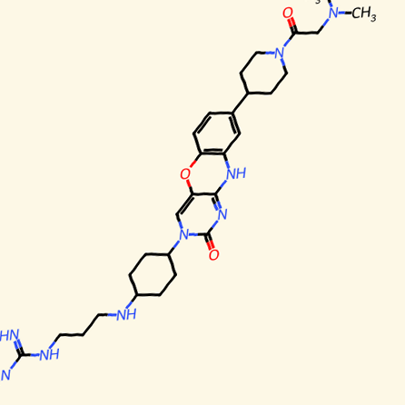 CN(C)CC(=O)N1CCC(c2ccc3c(c2)Nc2nc(=O)n(C4CCC(NCCCNC(=N)N)CC4)cc2O3)CC1